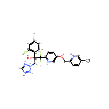 N#Cc1ccc(COc2ccc(C(F)(F)C(O)(Cn3ncnn3)c3ccc(F)cc3F)nc2)nc1